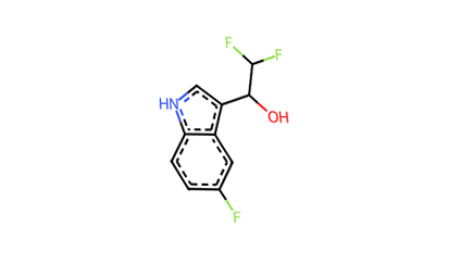 OC(c1c[nH]c2ccc(F)cc12)C(F)F